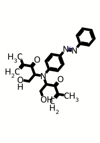 C=C(C)C(=O)C(CO)N(c1ccc(/N=N/c2ccccc2)cc1)C(CO)C(=O)C(=C)C